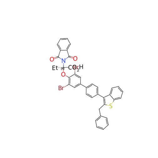 CC[C@@](Oc1c(Br)cc(-c2ccc(-c3c(Cc4ccccc4)sc4ccccc34)cc2)cc1Br)(C(=O)O)N1C(=O)c2ccccc2C1=O